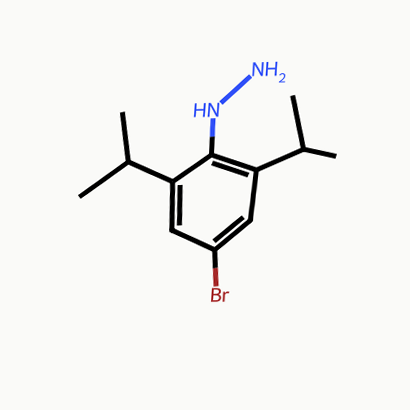 CC(C)c1cc(Br)cc(C(C)C)c1NN